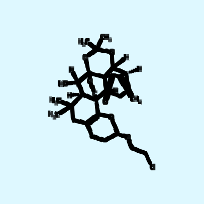 C=C1C(=O)[C@@]23[C@@H]4OC(C)(C)O[C@]25OC[C@]2(C6=C(CC[C@H](OCCCl)O6)CC(C)(C)[C@H]2[C@@H]5O)[C@@H]3CC[C@@H]14